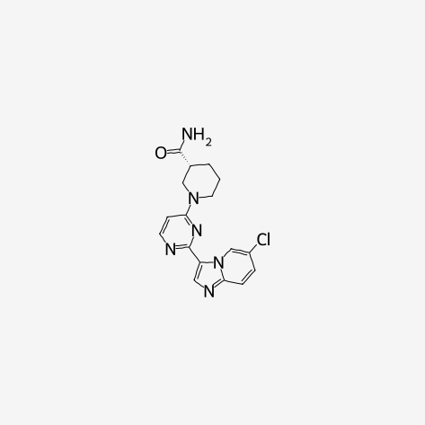 NC(=O)[C@@H]1CCCN(c2ccnc(-c3cnc4ccc(Cl)cn34)n2)C1